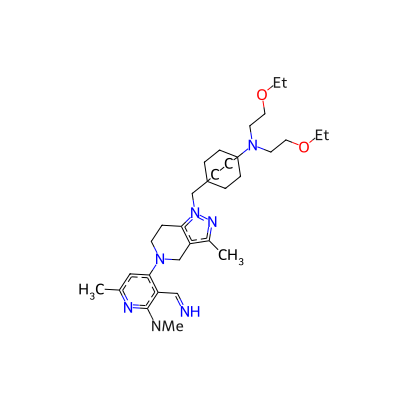 CCOCCN(CCOCC)C12CCC(Cn3nc(C)c4c3CCN(c3cc(C)nc(NC)c3C=N)C4)(CC1)CC2